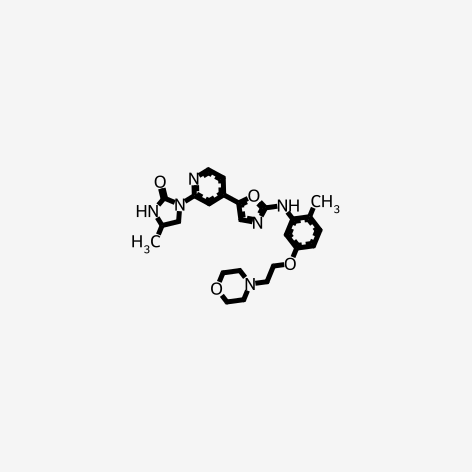 Cc1ccc(OCCN2CCOCC2)cc1Nc1ncc(-c2ccnc(N3CC(C)NC3=O)c2)o1